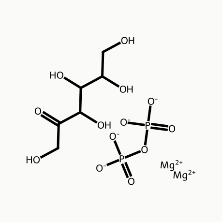 O=C(CO)C(O)C(O)C(O)CO.O=P([O-])([O-])OP(=O)([O-])[O-].[Mg+2].[Mg+2]